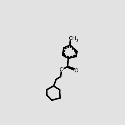 Cc1ccc(C(=O)OCCC2CCCCC2)cc1